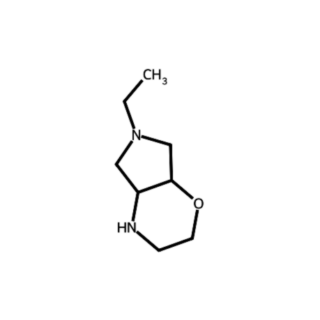 CCN1CC2NCCOC2C1